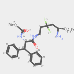 CCOC(=O)[C@@H](N)CC(F)(F)CCNC(=O)[C@@H](NC(=O)OC)C(c1ccccc1)c1ccccc1